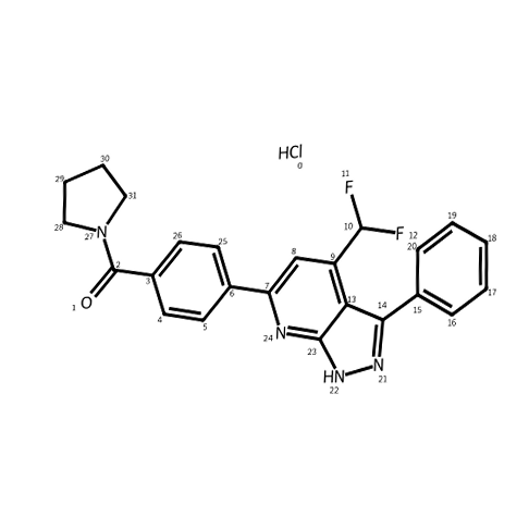 Cl.O=C(c1ccc(-c2cc(C(F)F)c3c(-c4ccccc4)n[nH]c3n2)cc1)N1CCCC1